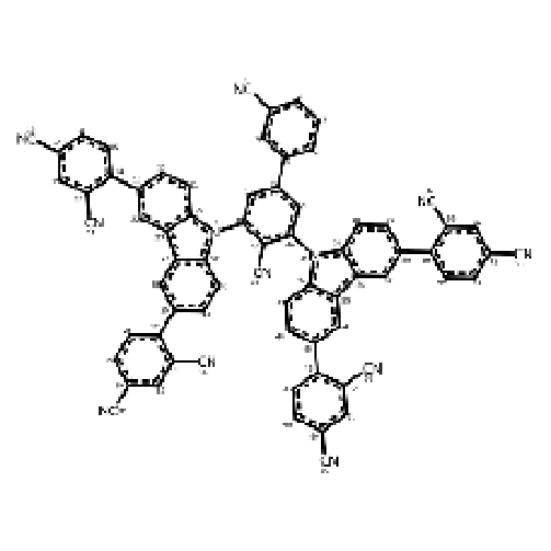 N#Cc1cccc(-c2cc(-n3c4ccc(-c5ccc(C#N)cc5C#N)cc4c4cc(-c5ccc(C#N)cc5C#N)ccc43)c(C#N)c(-n3c4ccc(-c5ccc(C#N)cc5C#N)cc4c4cc(-c5ccc(C#N)cc5C#N)ccc43)c2)c1